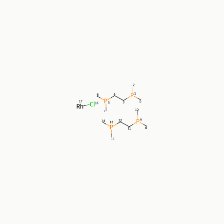 CP(C)CCP(C)C.CP(C)CCP(C)C.[Cl][Rh]